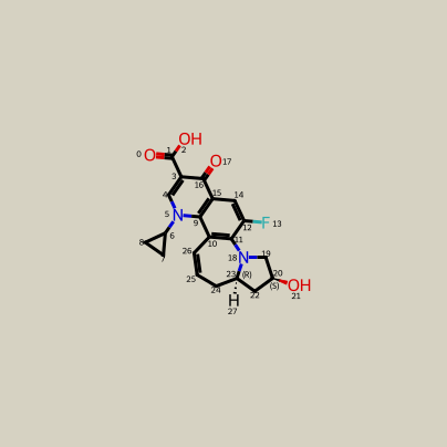 O=C(O)c1cn(C2CC2)c2c3c(c(F)cc2c1=O)N1C[C@@H](O)C[C@H]1CC=C3